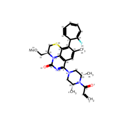 C=CC(=O)N1[C@H](C)CN(c2nc(=O)n3c4c(c(C5C#CC=CC=C5F)c(C(F)(F)F)cc24)SC[C@@H]3COC)C[C@@H]1C